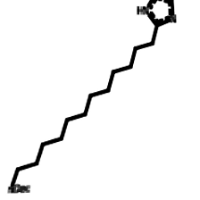 CCCCCCCCCCCCCCCCCCCCCCc1ncc[nH]1